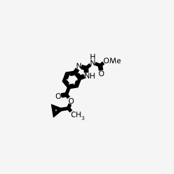 COC(=O)Nc1nc2ccc(C(=O)OC(C)C3CC3)cc2[nH]1